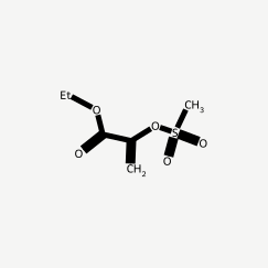 C=C(OS(C)(=O)=O)C(=O)OCC